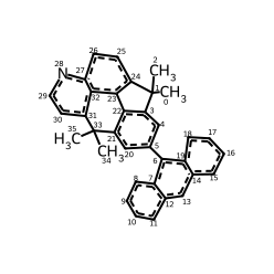 CC1(C)c2cc(-c3c4ccccc4cc4ccccc34)cc3c2-c2c1ccc1nccc(c21)C3(C)C